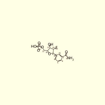 NC(=O)c1ccc[n+](C2OC(COP(=O)([O-])O)[C@@H](O)[C@H]2F)c1